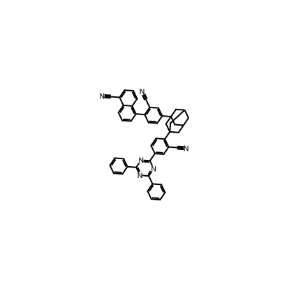 N#Cc1cc(C23CC4CC(C2)CC(c2ccc(-c5nc(-c6ccccc6)nc(-c6ccccc6)n5)cc2C#N)(C4)C3)ccc1-c1cccc2c(C#N)cccc12